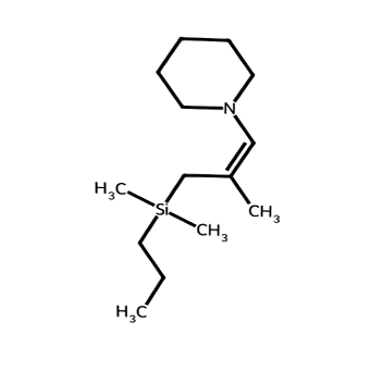 CCC[Si](C)(C)CC(C)=CN1CCCCC1